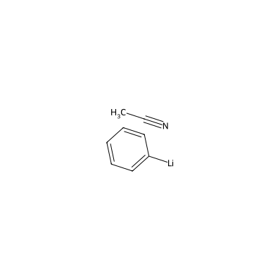 CC#N.[Li][c]1ccccc1